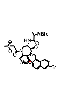 CNC(C)C(=O)N[C@H]1CN(C(=O)CS(C)(=O)=O)c2ccccc2N(Cc2c(OC)ccc3cc(Br)ccc23)C1=O.Cl